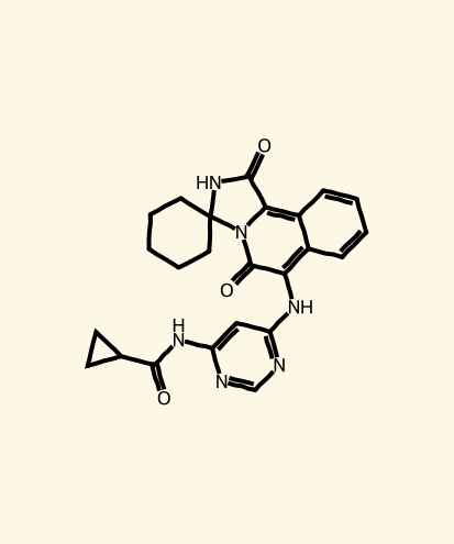 O=C1NC2(CCCCC2)n2c1c1ccccc1c(Nc1cc(NC(=O)C3CC3)ncn1)c2=O